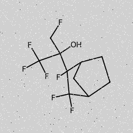 OC(CF)(C(F)(F)F)C1(F)C2CCC(C2)C1(F)F